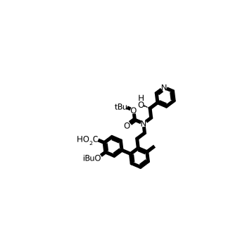 Cc1cccc(-c2ccc(C(=O)O)c(OCC(C)C)c2)c1CCN(C[C@H](O)c1cccnc1)C(=O)OC(C)(C)C